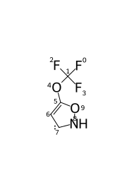 FC(F)(F)OC1=C[C]NO1